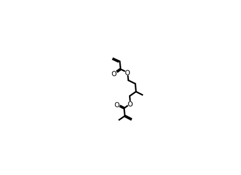 C=CC(=O)OCCC(C)COC(=O)C(=C)C